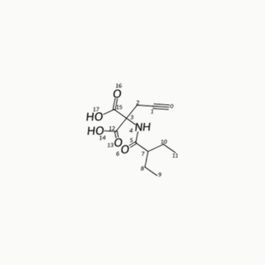 C#CCC(NC(=O)C(CC)CC)(C(=O)O)C(=O)O